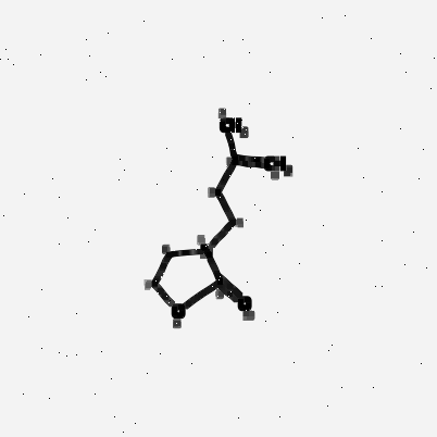 C=C(C)CCN1CCOC1=O